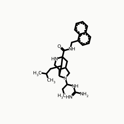 CCC(NC(=N)N)N1CC2CC3(C(=O)NCc4cccc5ccccc45)NCC2C1C3CC(C)C